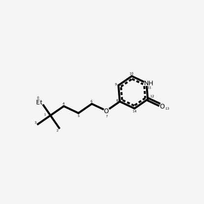 CCC(C)(C)CCCOc1cc[nH]c(=O)c1